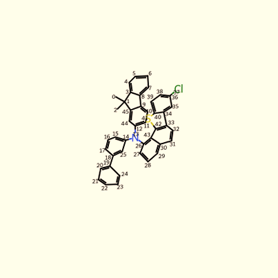 CC1(C)c2ccccc2-c2ccc(N(c3cccc(-c4ccccc4)c3)c3cccc4ccc5c6cc(Cl)ccc6sc5c34)cc21